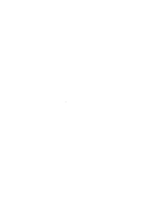 O=C(c1ccccc1)c1ccc(O)cc1Cl